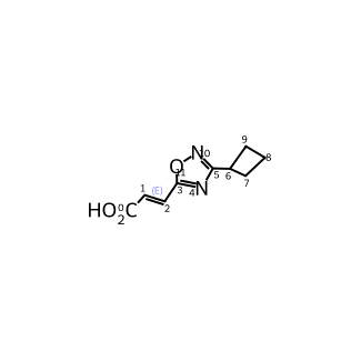 O=C(O)/C=C/c1nc(C2CCC2)no1